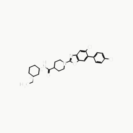 CC[C@H]1CCC[C@H](NC(=O)C2CCN(c3nc4cc(Cl)c(-c5ccc(Cl)cc5)cc4o3)CC2)C1